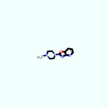 CN1CCN(c2nc3ncccc3o2)CC1